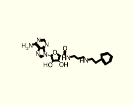 Nc1ncnc2c1ncn2[C@@H]1O[C@H](C(=O)NCCCNCCc2ccccc2)[C@@H](O)[C@H]1O